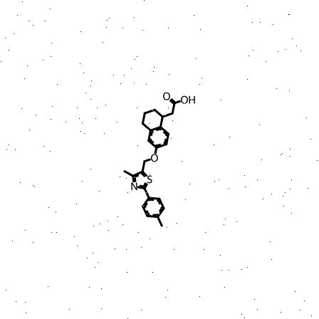 Cc1ccc(-c2nc(C)c(COc3ccc4c(c3)CCCC4CC(=O)O)s2)cc1